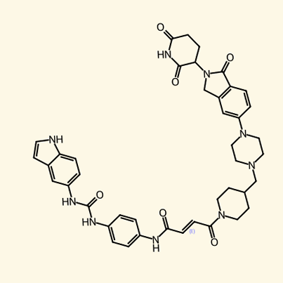 O=C(/C=C/C(=O)N1CCC(CN2CCN(c3ccc4c(c3)CN(C3CCC(=O)NC3=O)C4=O)CC2)CC1)Nc1ccc(NC(=O)Nc2ccc3[nH]ccc3c2)cc1